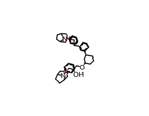 OC(COC1CCCC(c2cccc(CCN3CC4CCC(C3)N4c3ccccc3)c2)C1)CN1CC2CCC(C1)N2c1ccccc1